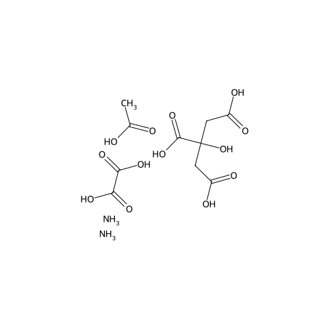 CC(=O)O.N.N.O=C(O)C(=O)O.O=C(O)CC(O)(CC(=O)O)C(=O)O